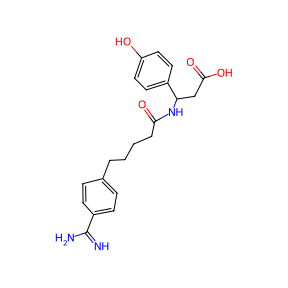 N=C(N)c1ccc(CCCCC(=O)NC(CC(=O)O)c2ccc(O)cc2)cc1